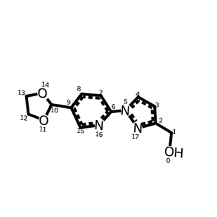 OCc1ccn(-c2ccc(C3OCCO3)cn2)n1